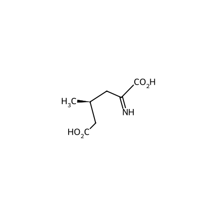 C[C@@H](CC(=N)C(=O)O)CC(=O)O